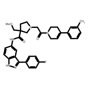 COCC1(C(=O)Nc2ccc3[nH]nc(-c4ccc(F)cc4)c3c2)CCN(CC(=O)N2CC=C(c3cccc(C)c3)CC2)C1